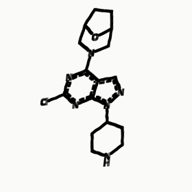 Clc1nc(N2CC3CCC(C2)O3)c2cnn(C3CCNCC3)c2n1